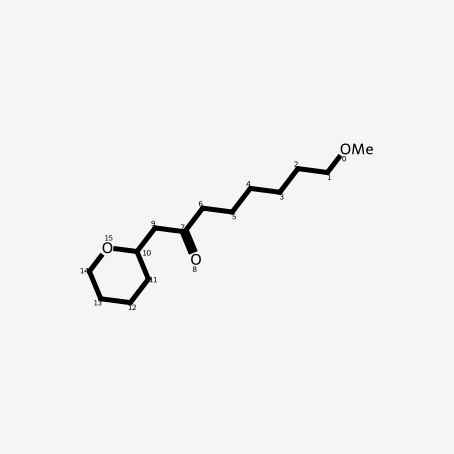 COCCCCCCC(=O)CC1CCCCO1